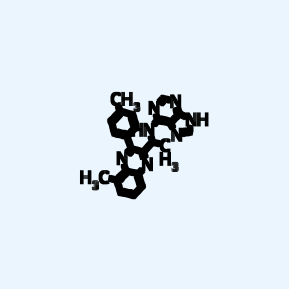 Cc1ccc(-c2nc3c(C)cccc3nc2C(C)Nc2ncnc3[nH]cnc23)cc1